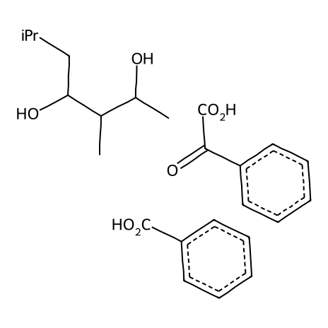 CC(C)CC(O)C(C)C(C)O.O=C(O)C(=O)c1ccccc1.O=C(O)c1ccccc1